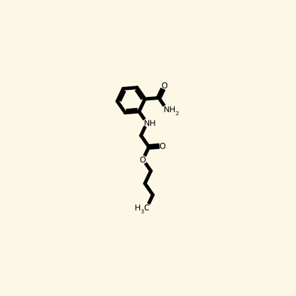 CCCCOC(=O)CNc1ccccc1C(N)=O